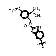 COc1ccc(C[S+]([O-])c2nc3cc(C(F)(F)F)ccc3[nH]2)c(N(C)C)c1